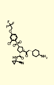 N#CC1(NC(=O)[C@@H]2C[C@@H](S(=O)(=O)c3ccc(OCC(F)(F)F)cc3Cl)CN2C(=O)C[C@H]2CC[C@H](N)CC2)CC1